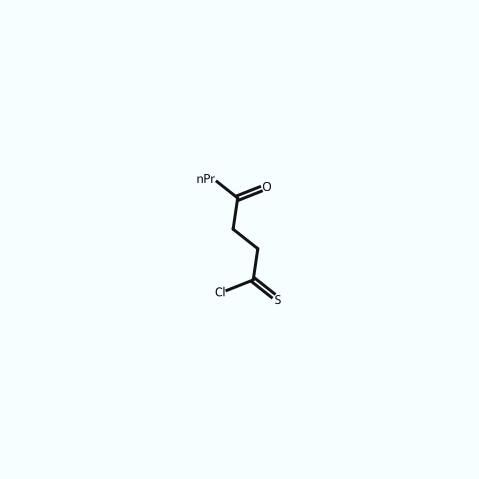 CCCC(=O)CCC(=S)Cl